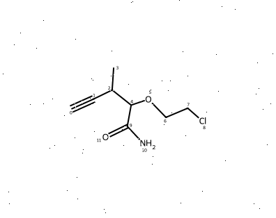 C#CC(C)C(OCCCl)C(N)=O